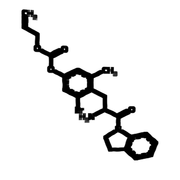 C=CCOC(=O)Oc1cc(C)c(CC(N)C(=O)N2CCc3ccccc32)c(Br)c1